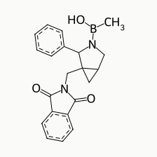 CB(O)N1CC2CC2(CN2C(=O)c3ccccc3C2=O)C1c1ccccc1